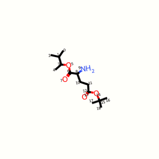 CC(C)C(C)OC(=O)C(N)CCC(=O)OC(C)(C)C